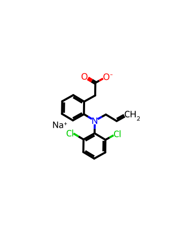 C=CCN(c1ccccc1CC(=O)[O-])c1c(Cl)cccc1Cl.[Na+]